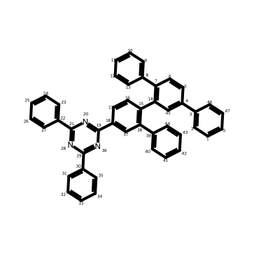 c1ccc(-c2ccc(-c3ccccc3)c(-c3ccc(-c4nc(-c5ccccc5)nc(-c5ccccc5)n4)cc3-c3ccccc3)c2)cc1